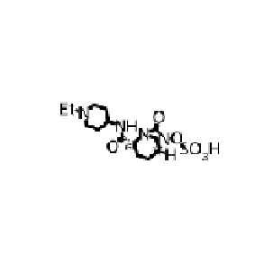 CCN1CCC(NC(=O)[C@H]2CC[C@@H]3CN2C(=O)N3OS(=O)(=O)O)CC1